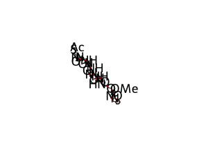 COc1cc2c(cc1OCCCC(=O)Nc1cc(C(=O)Nc3cn(C)c(C(=O)Nc4cc(C(=O)Nc5cc(C(=O)N(C)CCCSC(C)=O)n(C)c5)n(C)c4)n3)n(C)c1)N=CC1Cc3ccccc3N1C2=O